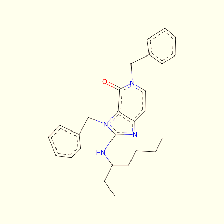 CCCCC(CC)Nc1nc2ccn(Cc3ccccc3)c(=O)c2n1Cc1ccccc1